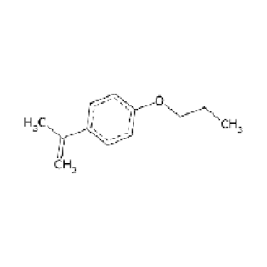 C=C(C)c1ccc(OCCC)cc1